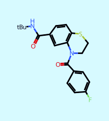 CC(C)(C)NC(=O)c1ccc2c(c1)N(C(=O)c1ccc(F)cc1)CCS2